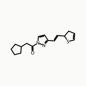 O=C(CC1CCCC1)n1ccc(/C=C/C2CC=CS2)n1